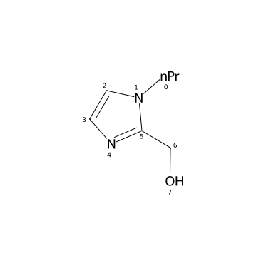 CCCn1ccnc1CO